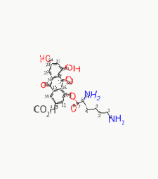 NCCCC[C@H](N)C(=O)Oc1cc(C(=O)O)cc2c1C(=O)c1c(O)cc(O)cc1C2=O